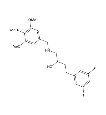 COc1cc(CNCC(O)CCc2cc(F)cc(F)c2)cc(OC)c1OC